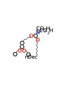 CCCCCCCCCCCCCCCCCCOc1cc(OCCCCc2ccc3cc(OCc4ccccc4)c(OCc4ccccc4)cc3c2)cc(N(CC(=O)O)CC(=O)O)c1